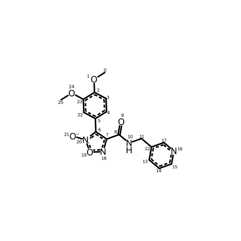 COc1ccc(-c2c(C(=O)NCc3cccnc3)no[n+]2[O-])cc1OC